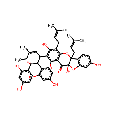 CC/C(C)=C\C(c1c(O)c(CC=C(C)C)c2c(c1O)C(=O)C1(O)Oc3cc(O)ccc3C1(CC=C(C)C)O2)C(C(=O)c1ccc(O)cc1O)c1ccc(O)cc1O